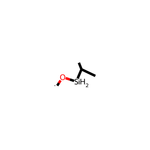 [CH2]O[SiH2]C(C)C